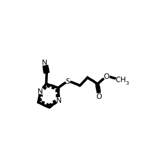 COC(=O)CCSc1nccnc1C#N